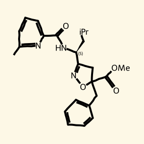 COC(=O)C1(Cc2ccccc2)CC([C@H](CC(C)C)NC(=O)c2cccc(C)n2)=NO1